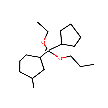 CCCO[Si](OCC)(C1CCCC1)C1CCCC(C)C1